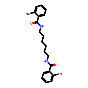 N#Cc1ccccc1C(=O)NCCCCCCNC(=O)c1ccccc1C#N